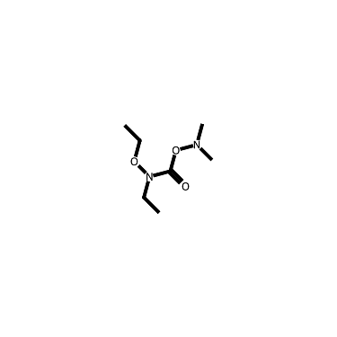 CCON(CC)C(=O)ON(C)C